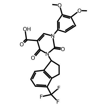 COc1ccc(-n2cc(C(=O)O)c(=O)n(C3CCc4c3cccc4C(F)(F)F)c2=O)cc1OC